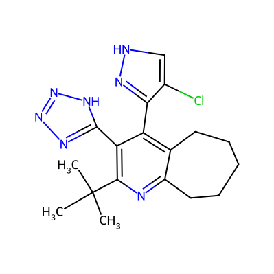 CC(C)(C)c1nc2c(c(-c3n[nH]cc3Cl)c1-c1nnn[nH]1)CCCCC2